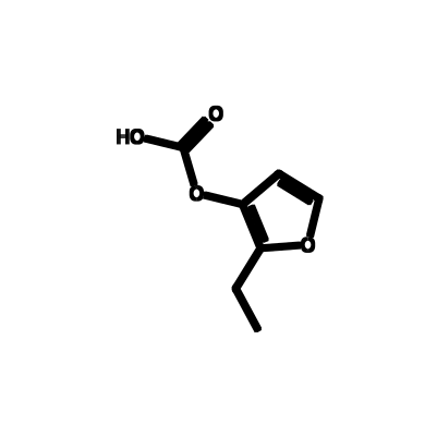 CCc1occc1OC(=O)O